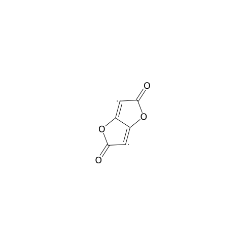 O=C1[C]=C2OC(=O)[C]=C2O1